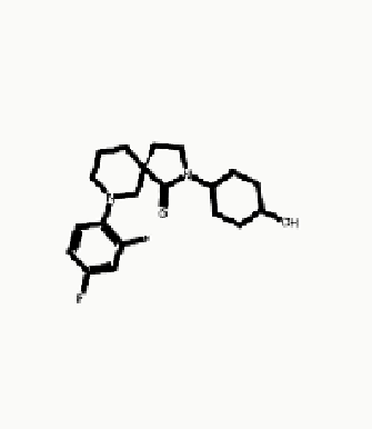 O=C1N(C2CCC(O)CC2)CC[C@@]12CCCN(c1ccc(F)cc1F)C2